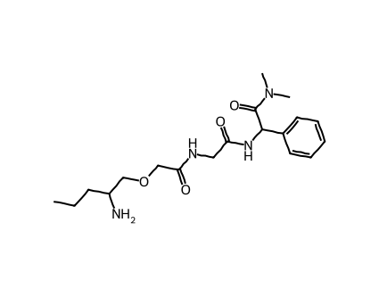 CCCC(N)COCC(=O)NCC(=O)NC(C(=O)N(C)C)c1ccccc1